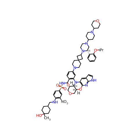 CC(C)Oc1ccccc1[C@H]1CN(C2CCN(C3CCOCC3)CC2)CCN1C1CC2(CCN(c3ccc(C(=O)NS(=O)(=O)c4ccc(NCC5CCC(C)(O)CC5)c([N+](=O)[O-])c4)c(N4c5cc6cc[nH]c6nc5O[C@H]5COCC[C@@H]54)c3)CC2)C1